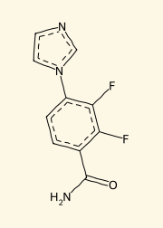 NC(=O)c1ccc(-n2ccnc2)c(F)c1F